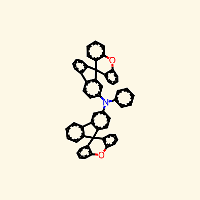 c1ccc(N(c2ccc3c(c2)-c2ccccc2C32c3ccccc3Oc3ccccc32)c2ccc3c(c2)C2(c4ccccc4Oc4ccccc42)c2ccccc2-3)cc1